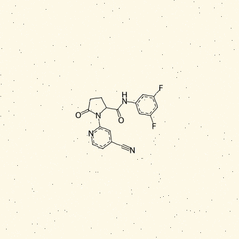 N#Cc1ccnc(N2C(=O)CCC2C(=O)Nc2cc(F)cc(F)c2)c1